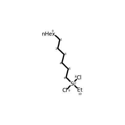 CCCCCCCCCCCC[Si](Cl)(Cl)CC